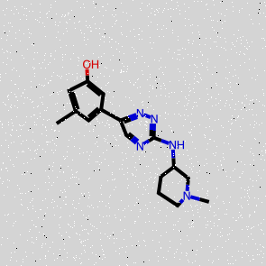 Cc1cc(O)cc(-c2cnc(NC3CCCN(C)C3)nn2)c1